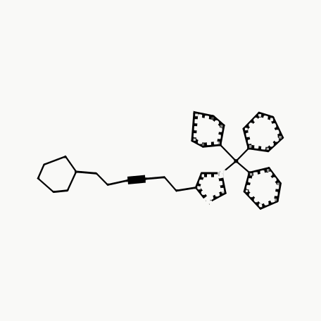 C(#CCCC1CCCCC1)CCc1cn(C(c2ccccc2)(c2ccccc2)c2ccccc2)cn1